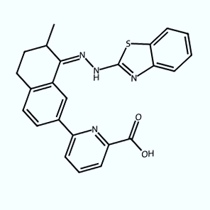 CC1CCc2ccc(-c3cccc(C(=O)O)n3)cc2C1=NNc1nc2ccccc2s1